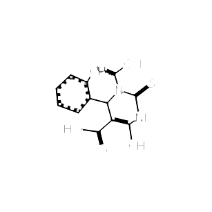 CC1=C(C(=O)O)C(c2ccccc2C)N(C(=O)O)C(=S)N1